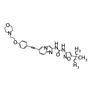 CC(C)(C)c1cc(NC(=O)Nc2cn3cc(C#Cc4ccc(OCCN5CCOCC5)cc4)ccc3n2)no1